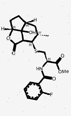 COC(=O)[C@H](CS[C@H]1C2C(=O)O[C@@H]3CC[C@H](C[C@@H]1C)C23O)NC(=O)c1ccccc1F